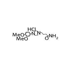 COc1ccc(N2CCN(CCCC(N)=O)CC2)cc1OC.Cl